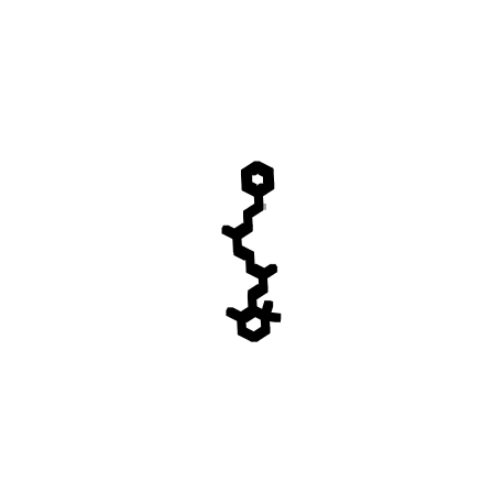 CC(C=CC1=C(C)CCCC1(C)C)=CC=CC(C)=CC[CH]c1ccccc1